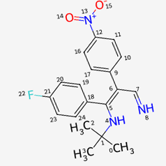 CC(C)(C)N/C(=C(\C=N)c1ccc([N+](=O)[O-])cc1)c1ccc(F)cc1